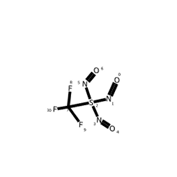 O=NS(N=O)(N=O)C(F)(F)F